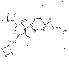 N#Cc1c(SCC2COC2)nc(N2CCC2)c(C#N)c1-c1ccc(OCCO)cc1